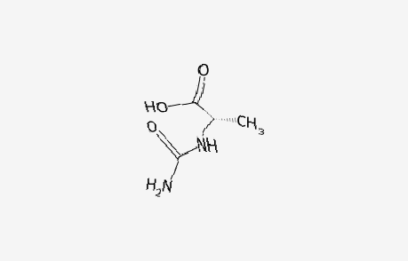 C[C@H](NC(N)=O)C(=O)O